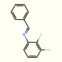 Fc1cccc(/N=C/c2ccccc2)c1F